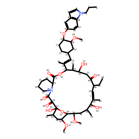 CCCn1ccc2cc(OC3CCC(C=C(C)C4OC(=O)C5CCCCN5C(=O)C(=O)C5(O)OC(C(OC)CC(C)C(O)/C(C)=C/C(CC)C(=O)CC(O)C4C)C(OC)CC5C)CC3OC)ccc21